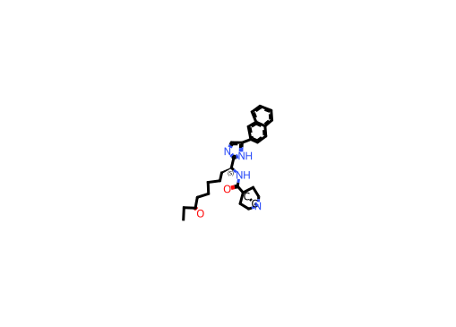 CCC(=O)CCCCC[C@H](NC(=O)C12CCN(CC1)CC2)c1ncc(-c2ccc3ccccc3c2)[nH]1